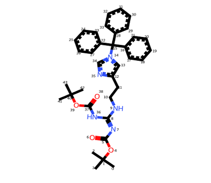 CC(C)(C)OC(=O)/N=C(/NCCc1cn(C(c2ccccc2)(c2ccccc2)c2ccccc2)cn1)NC(=O)OC(C)(C)C